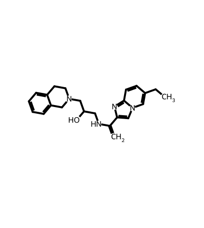 C=C(NCC(O)CN1CCc2ccccc2C1)c1cn2cc(CC)ccc2n1